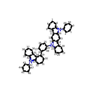 c1ccc(-n2c3ccccc3c3cc4c(cc32)c2ccccc2n4-c2cccc(-c3cccc4c3c3ccccc3n4-c3ccccc3)c2)cc1